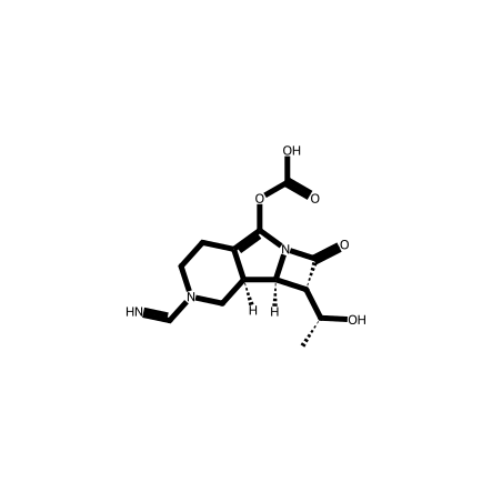 C[C@@H](O)[C@H]1C(=O)N2C(OC(=O)O)=C3CCN(C=N)C[C@@H]3[C@H]12